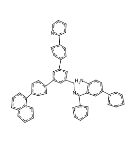 Nc1ccc(-c2ccccc2)cc1/C(=N\Cc1cc(-c2ccc(-c3ccccn3)cc2)cc(-c2ccc(-c3cccc4ccccc34)cc2)c1)c1ccccc1